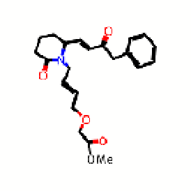 COC(=O)COCC=CCN1C(=O)CCCC1C=CC(=O)Cc1ccccc1